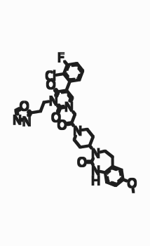 COc1ccc2c(c1)CCN(C1CCN(C(=O)Cn3cc(-c4cccc(F)c4Cl)c(=O)n(CCc4nnco4)c3=O)CC1)C(=O)N2